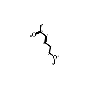 COCC/C=C/C(C)=O